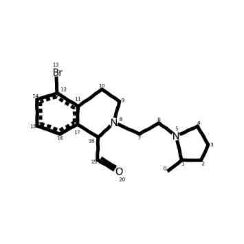 CC1CCCN1CCN1CCc2c(Br)cccc2C1C=O